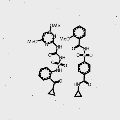 COc1cc(OC)nc(NC(=O)NS(=O)(=O)Nc2ccccc2C(=O)C2CC2)n1.COc1ccccc1C(=O)NS(=O)(=O)c1ccc(C(=O)NC2CC2)cc1